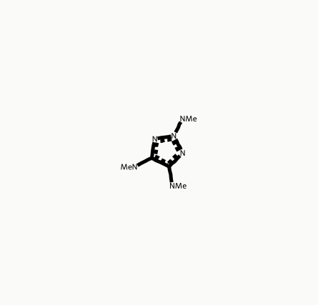 CNc1nn(NC)nc1NC